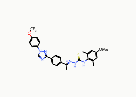 COc1cc(C)c(NC(=S)N/N=C(\C)c2ccc(-c3ncn(-c4ccc(OC(F)(F)F)cc4)n3)cc2)c(C)c1